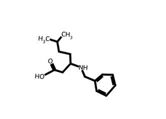 CC(C)CCC(CC(=O)O)NCc1ccccc1